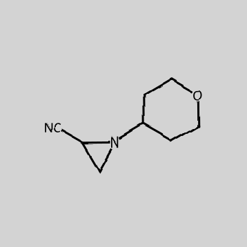 N#CC1CN1C1CCOCC1